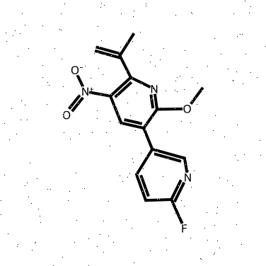 C=C(C)c1nc(OC)c(-c2ccc(F)nc2)cc1[N+](=O)[O-]